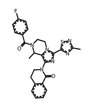 Cc1nsc(-c2nc(N3CCc4ccccc4C3=O)c3n2CCN(C(=O)c2ccc(F)cc2)C3C)n1